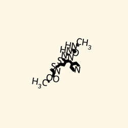 CCNC(=O)Nc1nc(-c2ccncc2)c2cc(-c3nc(C(=O)OCC)cs3)sc2n1